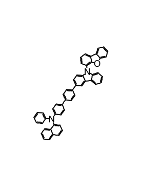 c1ccc(N(c2ccc(-c3ccc(-c4ccc5c(c4)c4ccccc4n5-c4cccc5c4oc4ccccc45)cc3)cc2)c2cccc3ccccc23)cc1